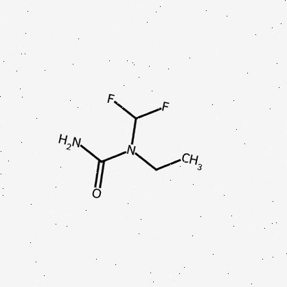 CCN(C(N)=O)C(F)F